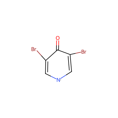 O=C1C(Br)=C[N]C=C1Br